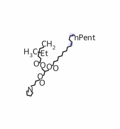 C=CCC(C)(CC)CCC(=O)OCC(COC(=O)CCCCCCC/C=C\C/C=C\CCCCC)COC(=O)CCCN1CCCC1